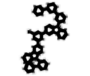 Brc1cc(-c2ccc3c(c2)c2ccccc2n3-c2cccc(-c3cccc(-c4ccccc4)c3)c2)cc(-c2ccc3c(c2)c2ccccc2n3-c2ccccc2-c2ccccc2)c1